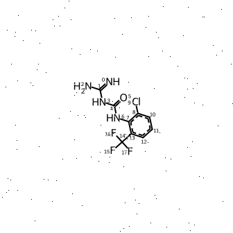 N=C(N)NC(=O)Nc1c(Cl)cccc1C(F)(F)F